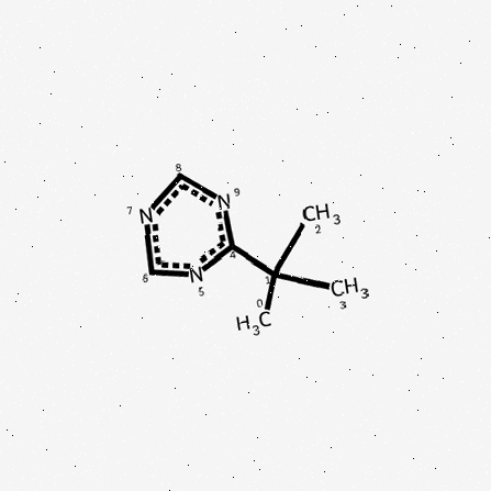 CC(C)(C)c1ncncn1